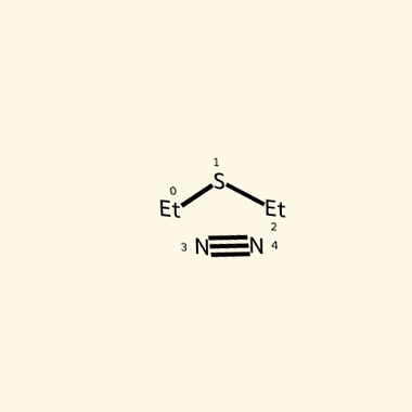 CCSCC.N#N